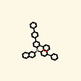 c1ccc(-c2ccc(-c3ccc(N(c4ccc(-c5ccccc5)cc4)c4ccc5ccccc5c4)c(-c4ccccc4)c3)cc2)cc1